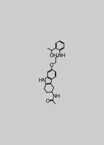 CC(=O)NC1CCc2[nH]c3cc(OCCNc4ccccc4C(C)O)ccc3c2C1